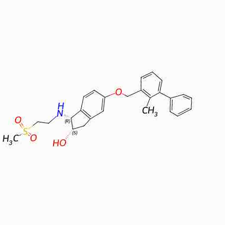 Cc1c(COc2ccc3c(c2)C[C@H](O)[C@@H]3NCCS(C)(=O)=O)cccc1-c1ccccc1